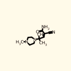 CN1CCN(C(C)(C)C=C(C#N)C(N)=O)CC1